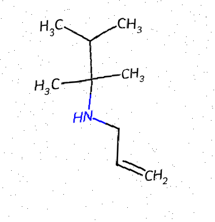 C=CCNC(C)(C)C(C)C